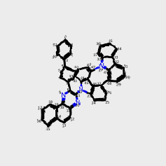 c1ccc(-c2ccc(-c3nc4c(ccc5ccccc54)nc3-n3c4cccc5c6cccc7c8ccccc8n(c8cccc3c8c54)c67)cc2)cc1